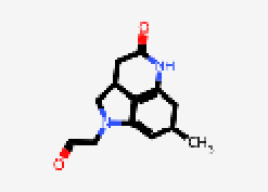 CC1C=C2C3=C(C1)NC(=O)CC3CN2CC=O